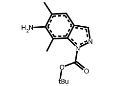 Cc1cc2cnn(C(=O)OC(C)(C)C)c2c(C)c1N